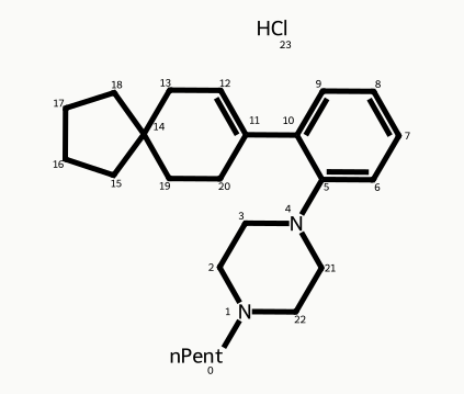 CCCCCN1CCN(c2ccccc2C2=CCC3(CCCC3)CC2)CC1.Cl